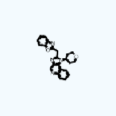 c1ccc2oc(Cc3nc4cnc5ccccc5c4n3C3CCOCC3)nc2c1